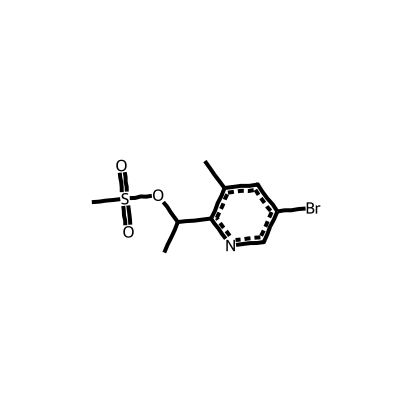 Cc1cc(Br)cnc1C(C)OS(C)(=O)=O